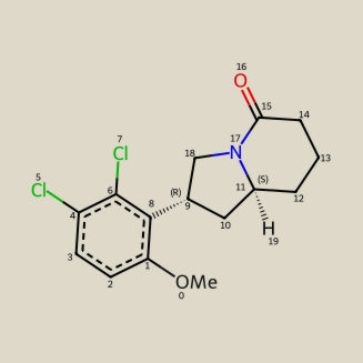 COc1ccc(Cl)c(Cl)c1[C@H]1C[C@@H]2CCCC(=O)N2C1